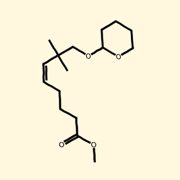 COC(=O)CCC/C=C\C(C)(C)COC1CCCCO1